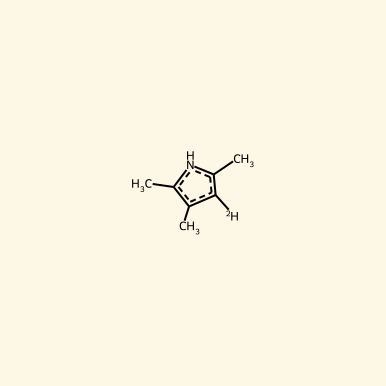 [2H]c1c(C)[nH]c(C)c1C